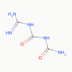 N=C(N)NC(=O)NC(N)=O